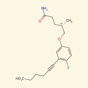 C[C@@H](CCC(N)=O)COc1ccc(F)c(C#CCCCC(=O)O)c1